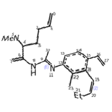 C=CCCC(NC)C(=C)N/C(C)=N/c1ccc(C=C)c(/C=C\CC)c1C